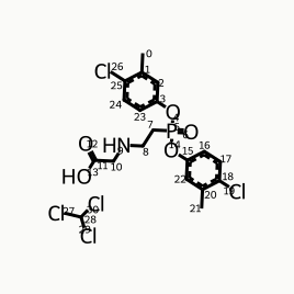 Cc1cc(OP(=O)(CCNCC(=O)O)Oc2ccc(Cl)c(C)c2)ccc1Cl.ClC(Cl)Cl